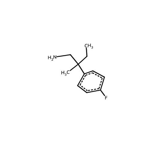 CCC(C)(CN)c1ccc(F)cc1